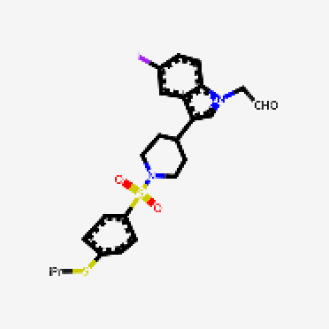 CC(C)Sc1ccc(S(=O)(=O)N2CCC(c3cn(CC=O)c4ccc(I)cc34)CC2)cc1